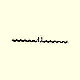 CCCCCCCCCCCCNONCCCCCCCCCCCC